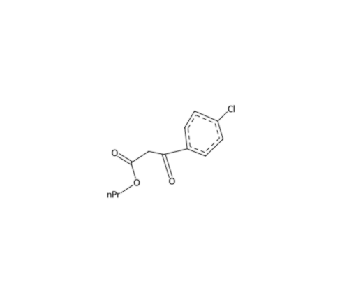 CCCOC(=O)CC(=O)c1ccc(Cl)cc1